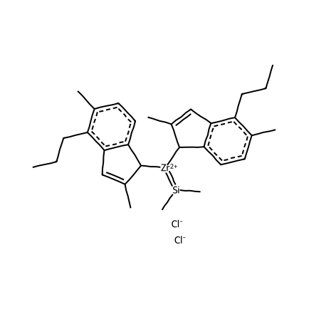 CCCc1c(C)ccc2c1C=C(C)[CH]2[Zr+2]([CH]1C(C)=Cc2c1ccc(C)c2CCC)=[Si](C)C.[Cl-].[Cl-]